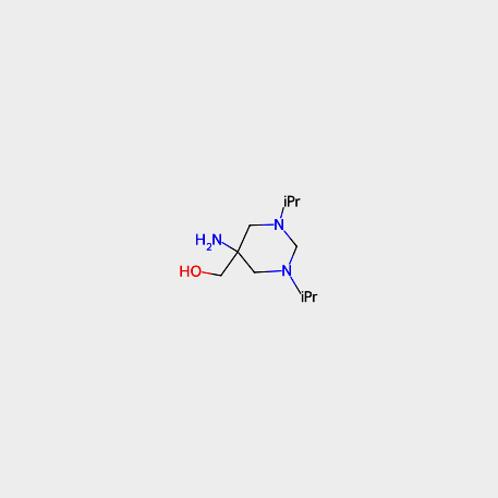 CC(C)N1CN(C(C)C)CC(N)(CO)C1